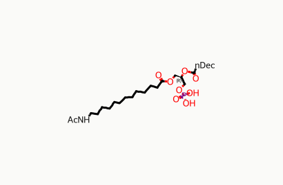 CCCCCCCCCCC(=O)O[C@H](COC(=O)CCCCCCCCCCCCNC(C)=O)COP(=O)(O)O